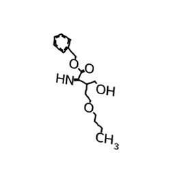 CCCCOCCC(CO)C(=N)C(=O)OCc1ccccc1